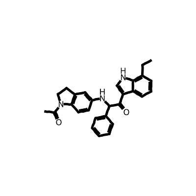 CCc1cccc2c(C(=O)C(Nc3ccc4c(c3)CCN4C(C)=O)c3ccccc3)c[nH]c12